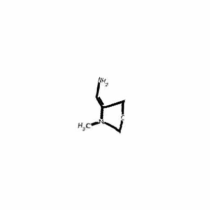 CN1CCC/C1=C\N